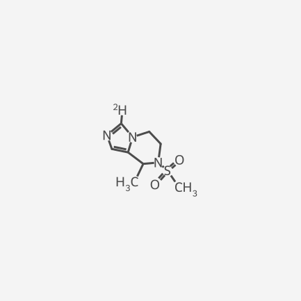 [2H]c1ncc2n1CCN(S(C)(=O)=O)C2C